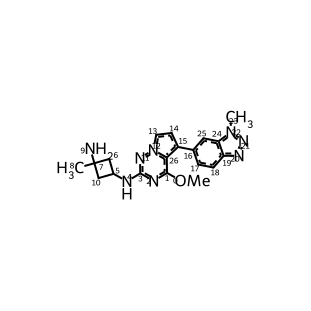 COc1nc(NC2CC(C)(N)C2)nn2ccc(-c3ccc4nnn(C)c4c3)c12